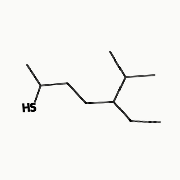 CCC(CCC(C)S)C(C)C